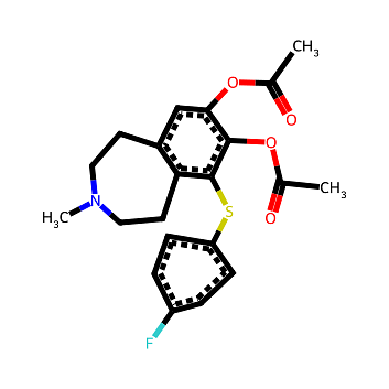 CC(=O)Oc1cc2c(c(Sc3ccc(F)cc3)c1OC(C)=O)CCN(C)CC2